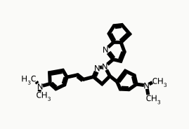 CN(C)c1ccc(C=CC2=NN(c3ccc4ccccc4n3)C(c3ccc(N(C)C)cc3)C2)cc1